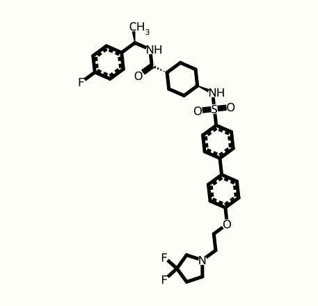 C[C@@H](NC(=O)[C@H]1CC[C@H](NS(=O)(=O)c2ccc(-c3ccc(OCCN4CCC(F)(F)C4)cc3)cc2)CC1)c1ccc(F)cc1